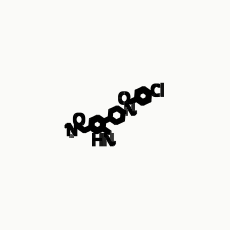 CNCc1cc(CC(=O)N(C)C)ccc1C1CCC(N(C)C(=O)c2ccc(Cl)cc2)CC1